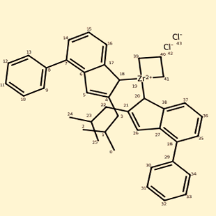 CC(C)CC1=Cc2c(-c3ccccc3)cccc2[CH]1[Zr+2]1([CH]2C(CC(C)C)=Cc3c(-c4ccccc4)cccc32)[CH2]C[CH2]1.[Cl-].[Cl-]